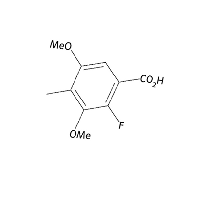 COc1cc(C(=O)O)c(F)c(OC)c1C